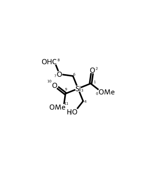 COC(=O)[Si](CO)(COC=O)C(=O)OC